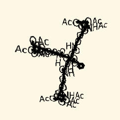 CC(=O)NC1C(OC(C)=O)CC(COC(C)=O)OC1OCCOCCOCCNC(=O)CCOCC(COCCC(=O)NCCOCCOCCOC1OC(COC(C)=O)C(OC(C)=O)C(OC(C)=O)C1NC(C)=O)(COCCC(=O)NCCOCCOCCOC1OC(COC(C)=O)C(OC(C)=O)C(OC(C)=O)C1NC(C)=O)NC(=O)OCc1ccccc1